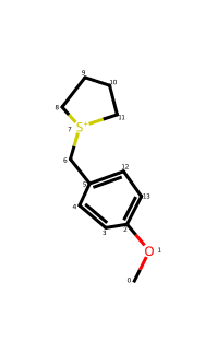 COc1ccc(C[S+]2CCCC2)cc1